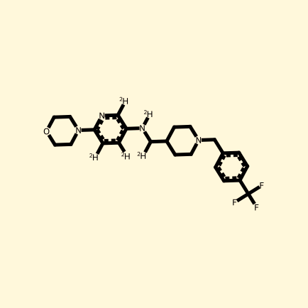 [2H]c1nc(N2CCOCC2)c([2H])c([2H])c1N([2H])C([2H])C1CCN(Cc2ccc(C(F)(F)F)cc2)CC1